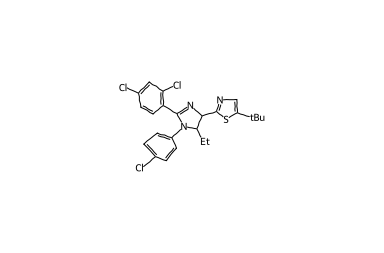 CCC1C(c2ncc(C(C)(C)C)s2)N=C(c2ccc(Cl)cc2Cl)N1c1ccc(Cl)cc1